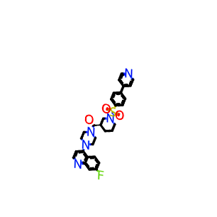 O=C([C@@H]1CCCN(S(=O)(=O)c2ccc(-c3ccncc3)cc2)C1)N1CCN(c2ccnc3cc(F)ccc23)CC1